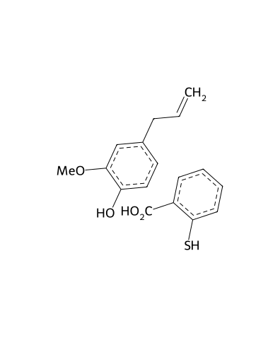 C=CCc1ccc(O)c(OC)c1.O=C(O)c1ccccc1S